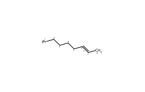 [CH2]/C=C/CCCCC(C)C